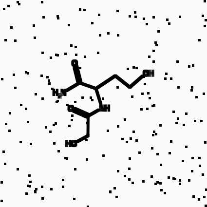 NC(=O)C(CCO)NC(=O)CO